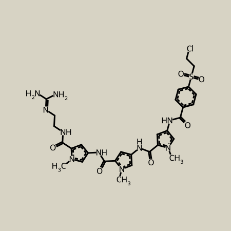 Cn1cc(NC(=O)c2cc(NC(=O)c3cc(NC(=O)c4ccc(S(=O)(=O)CCCl)cc4)cn3C)cn2C)cc1C(=O)NCCN=C(N)N